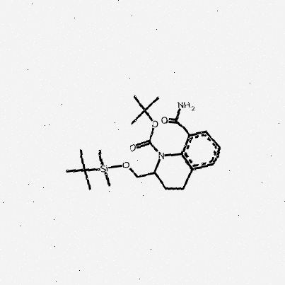 CC(C)(C)OC(=O)N1c2c(cccc2C(N)=O)CCC1CO[Si](C)(C)C(C)(C)C